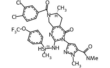 CNC(=O)c1cc(-n2c(N[Si@@H](C)c3ccc(OC(F)(F)F)cc3)nc3c(c2=O)C[C@@H](C)N(C(=O)c2ccc(Cl)c(Cl)c2)C3)nn1C